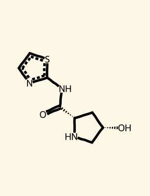 O=C(Nc1nccs1)[C@@H]1C[C@H](O)CN1